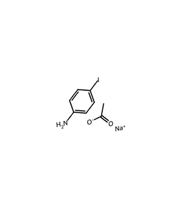 CC(=O)[O-].Nc1ccc(I)cc1.[Na+]